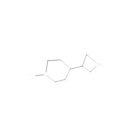 CC(=O)N1CCC(C2CNC2)CC1